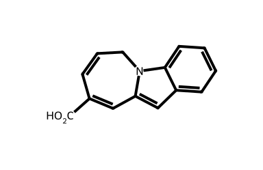 O=C(O)C1=Cc2cc3ccccc3n2CC=C1